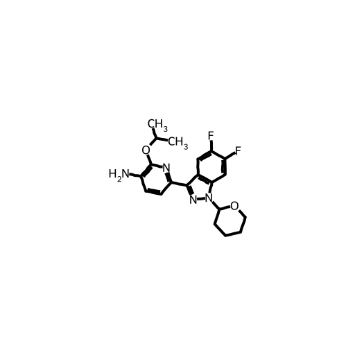 CC(C)Oc1nc(-c2nn(C3CCCCO3)c3cc(F)c(F)cc23)ccc1N